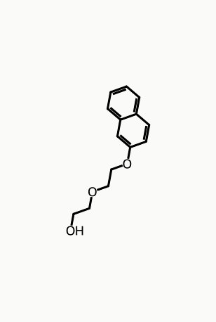 OCCOCCOc1ccc2ccccc2c1